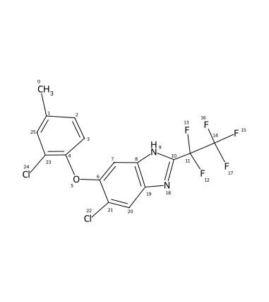 Cc1ccc(Oc2cc3[nH]c(C(F)(F)C(F)(F)F)nc3cc2Cl)c(Cl)c1